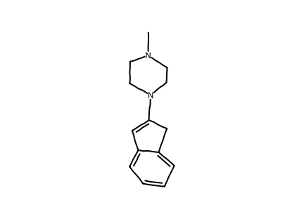 CN1CCN(C2=Cc3ccccc3C2)CC1